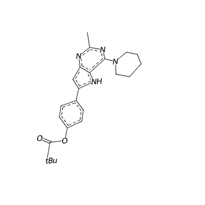 Cc1nc(N2CCCCC2)c2[nH]c(-c3ccc(OC(=O)C(C)(C)C)cc3)cc2n1